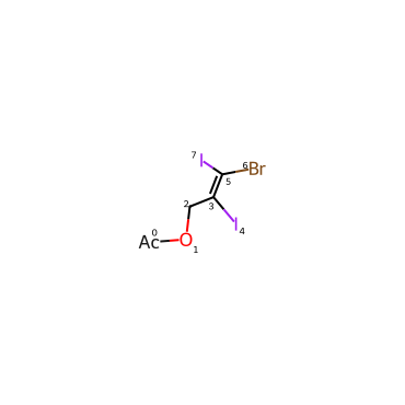 CC(=O)OC/C(I)=C(/Br)I